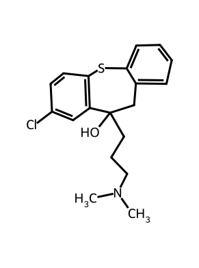 CN(C)CCCC1(O)Cc2ccccc2Sc2ccc(Cl)cc21